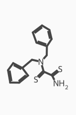 NC(=S)C(=S)N(Cc1ccccc1)Cc1ccccc1